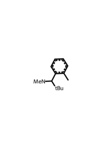 CNC(c1ccccc1C)C(C)(C)C